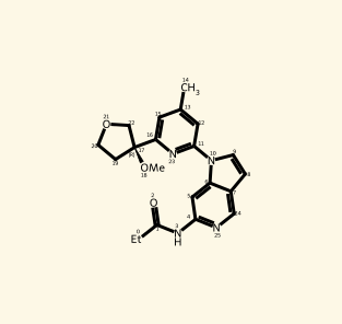 CCC(=O)Nc1cc2c(ccn2-c2cc(C)cc([C@]3(OC)CCOC3)n2)cn1